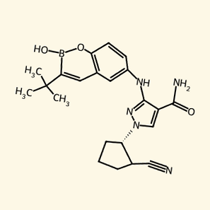 CC(C)(C)C1=Cc2cc(Nc3nn([C@H]4CCCC4C#N)cc3C(N)=O)ccc2OB1O